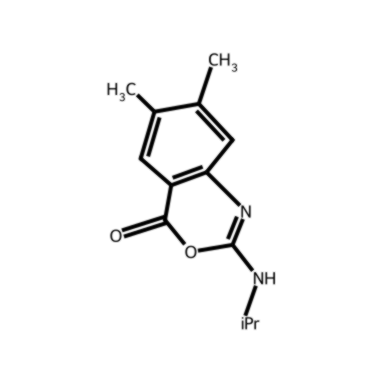 Cc1cc2nc(NC(C)C)oc(=O)c2cc1C